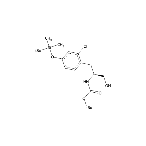 CC(C)(C)OC(=O)N[C@H](CO)Cc1ccc(O[Si](C)(C)C(C)(C)C)cc1Cl